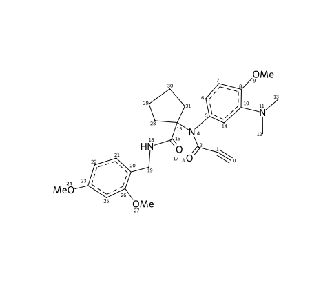 C#CC(=O)N(c1ccc(OC)c(N(C)C)c1)C1(C(=O)NCc2ccc(OC)cc2OC)CCCC1